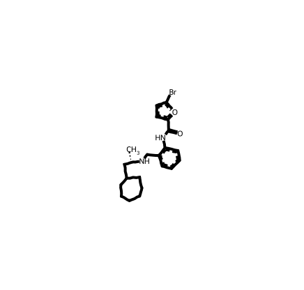 C[C@@H](CC1CCCCCC1)NCc1ccccc1NC(=O)c1ccc(Br)o1